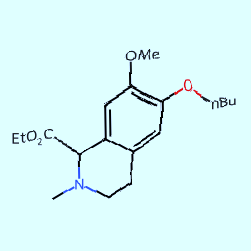 CCCCOc1cc2c(cc1OC)C(C(=O)OCC)N(C)CC2